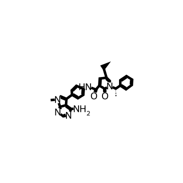 C[C@@H](c1ccccc1)n1cc(C2CC2)cc(C(=O)Nc2ccc(-c3cn(C)c4ncnc(N)c34)cc2)c1=O